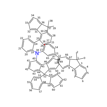 CC1(C)c2ccccc2-c2ccc(-c3cccc(N(c4ccccc4-c4cccc5c4-c4ccccc4C5(C)C)c4cccc5c4-c4ccccc4C54c5ccccc5-c5ccccc54)c3)cc21